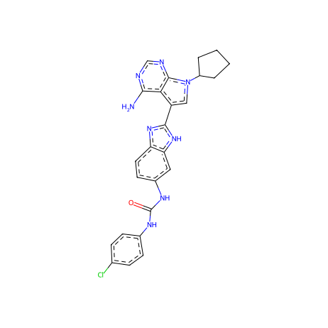 Nc1ncnc2c1c(-c1nc3ccc(NC(=O)Nc4ccc(Cl)cc4)cc3[nH]1)cn2C1CCCC1